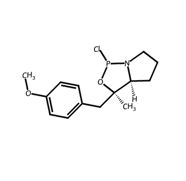 COc1ccc(C[C@@]2(C)OP(Cl)N3CCC[C@H]32)cc1